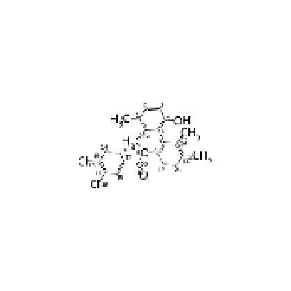 Cc1ccc(O)c(-c2c(OC(=O)c3ccc(Cl)c(Cl)c3)ccc(C)c2C)c1C